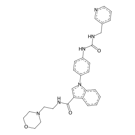 O=C(NCc1cccnc1)Nc1ccc(-n2cc(C(=O)NCCN3CCOCC3)c3ccccc32)cc1